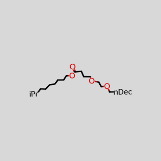 CCCCCCCCCCCOCCOCCCC(=O)OCCCCCCCC(C)C